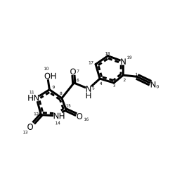 N#Cc1cc(NC(=O)c2c(O)[nH]c(=O)[nH]c2=O)ccn1